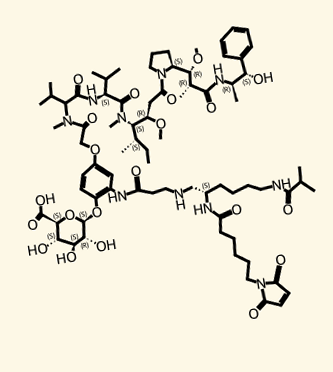 CC[C@H](C)[C@@H]([C@@H](CC(=O)N1CCC[C@H]1[C@H](OC)[C@@H](C)C(=O)N[C@H](C)[C@@H](O)c1ccccc1)OC)N(C)C(=O)[C@@H](NC(=O)C(C(C)C)N(C)C(=O)COc1ccc(O[C@@H]2O[C@H](C(=O)O)[C@@H](O)[C@H](O)[C@H]2O)c(NC(=O)CCNC[C@H](CCCCNC(=O)C(C)C)NC(=O)CCCCCN2C(=O)C=CC2=O)c1)C(C)C